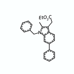 CCOC(=O)Cc1c(C)n(Cc2ccccc2)c2cc(-c3ccccc3)ccc12